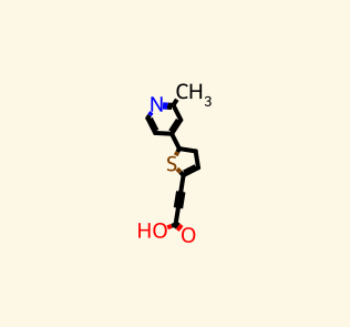 Cc1cc(C2CC=C(C#CC(=O)O)S2)ccn1